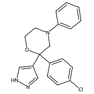 Clc1ccc(C2(c3cn[nH]c3)CN(c3ccccc3)CCO2)cc1